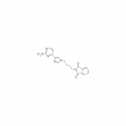 Nc1nccc(-c2cn(CCCCN3C(=O)c4ccccc4C3=O)cn2)n1